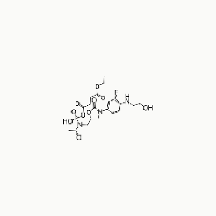 CCOC(=O)CCC(=O)OP(=O)(O)N(CC1CN(c2ccc(NCCO)c(F)c2)C(=O)O1)C(C)=O